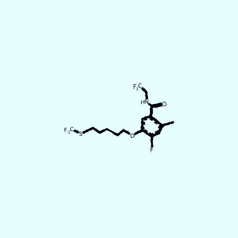 Cc1cc(F)c(OCCCCCSC(F)(F)F)cc1C(=O)NCC(F)(F)F